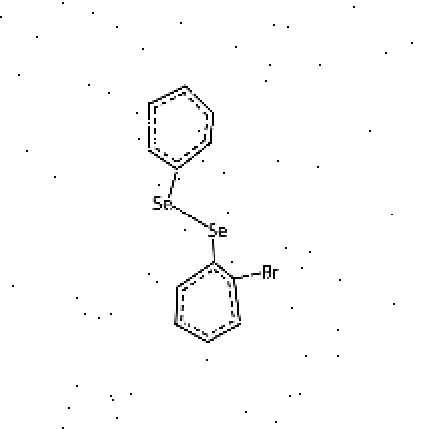 Brc1ccccc1[Se][Se]c1ccccc1